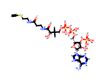 C#CSCCNC(=O)CCNC(=O)[C@H](O)C(C)(C)COP(=O)(O)OP(=O)(O)OC[C@H]1O[C@@H](n2cnc3c(N)ncnc32)[C@H](O)[C@@H]1OP(=O)(O)O